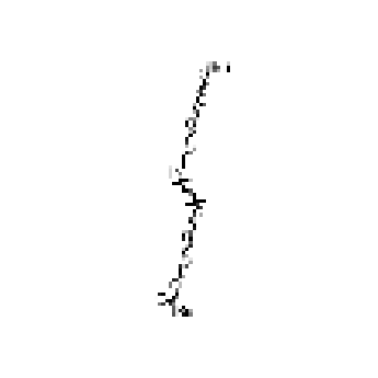 CC(C)(CCC(C)(C)OCCOCCOCCOCC(=O)C(C)(C)C)NCCOCCOCCOCCOC(C)(C)C